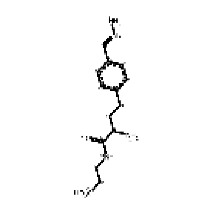 NN=Cc1ccc(CCC(N)C(=O)NCCC(=O)O)cc1